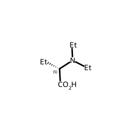 CC[C@@H](C(=O)O)N(CC)CC